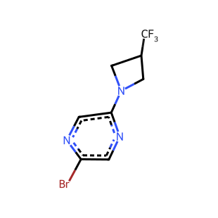 FC(F)(F)C1CN(c2cnc(Br)cn2)C1